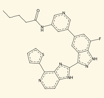 CCCCC(=O)Nc1cncc(-c2cc(F)c3[nH]nc(-c4nc5c(-c6cccs6)nccc5[nH]4)c3c2)c1